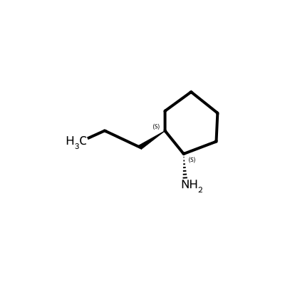 CCC[C@H]1CCCC[C@@H]1N